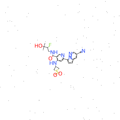 CC(C)(O)C(F)CNC(=O)c1cnc(-c2ccc3cc(C#N)cnn23)cc1NC1CS(=O)(=O)C1